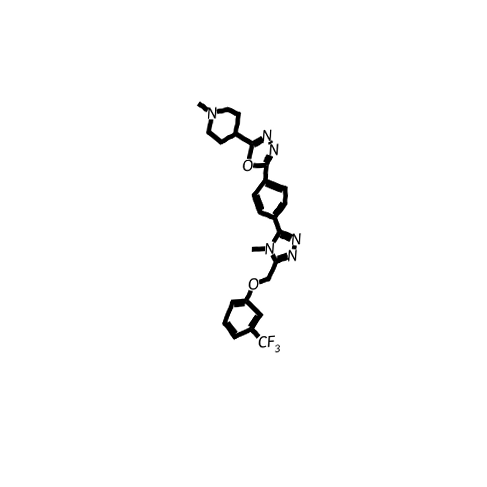 CN1CCC(c2nnc(-c3ccc(-c4nnc(COc5cccc(C(F)(F)F)c5)n4C)cc3)o2)CC1